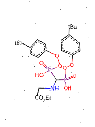 CCOC(=O)CNC(P(=O)(O)OOc1ccc(C(C)(C)C)cc1)P(=O)(O)OOc1ccc(C(C)(C)C)cc1